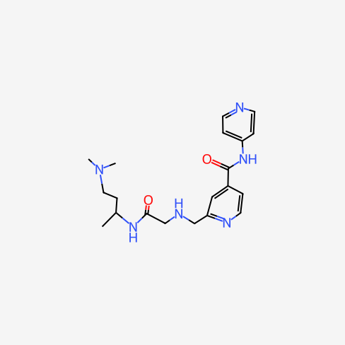 CC(CCN(C)C)NC(=O)CNCc1cc(C(=O)Nc2ccncc2)ccn1